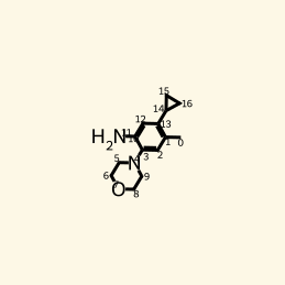 Cc1cc(N2CCOCC2)c(N)cc1C1CC1